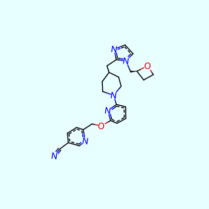 N#Cc1ccc(COc2cccc(N3CCC(Cc4nccn4C[C@@H]4CCO4)CC3)n2)nc1